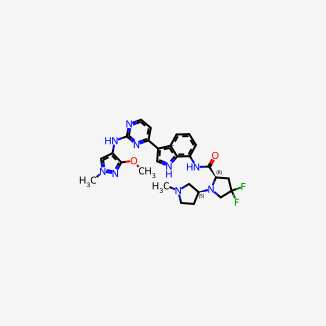 COc1nn(C)cc1Nc1nccc(-c2c[nH]c3c(NC(=O)[C@H]4CC(F)(F)CN4[C@H]4CCN(C)C4)cccc23)n1